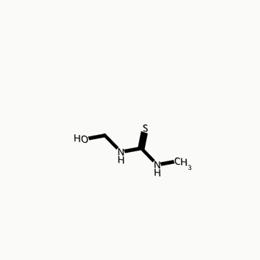 CNC(=S)NCO